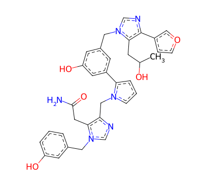 CC(O)Cc1c(-c2ccoc2)ncn1Cc1cc(O)cc(-c2cccn2Cc2ncn(Cc3cccc(O)c3)c2CC(N)=O)c1